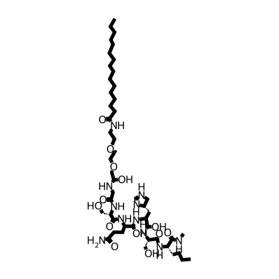 CCCCCCCCCCCCCCCC(=O)NCCOCCOCC(O)NCC(=O)N[C@@H](CO)C(=O)NC(CCC(N)=O)C(O)NC(C[C@H]1CNC=N1)C(O)N[C@@H](CO)C(=O)N[C@@H](CCCC)C(=O)NC